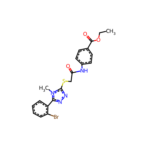 CCOC(=O)c1ccc(NC(=O)CSc2nnc(-c3ccccc3Br)n2C)cc1